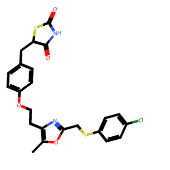 Cc1oc(CSc2ccc(Cl)cc2)nc1CCOc1ccc(CC2SC(=O)NC2=O)cc1